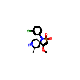 COC1=CS(=O)(=O)N(c2cccc(F)c2)[C@@]12CCN[C@@H](C)C2